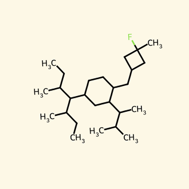 CCC(C)C(C(C)CC)C1CCC(CC2CC(C)(F)C2)C(C(C)C(C)C)C1